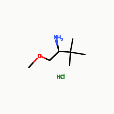 COC[C@@H](N)C(C)(C)C.Cl